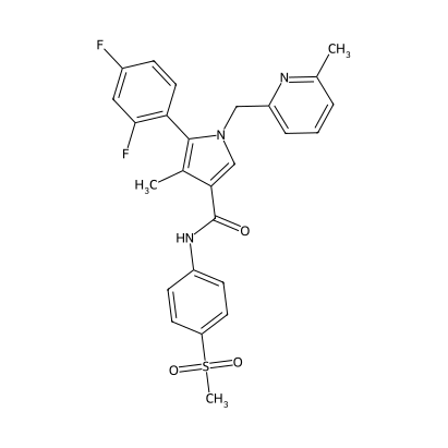 Cc1cccc(Cn2cc(C(=O)Nc3ccc(S(C)(=O)=O)cc3)c(C)c2-c2ccc(F)cc2F)n1